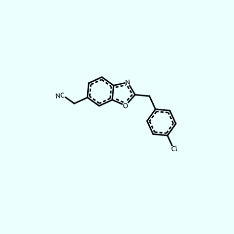 N#CCc1ccc2nc(Cc3ccc(Cl)cc3)oc2c1